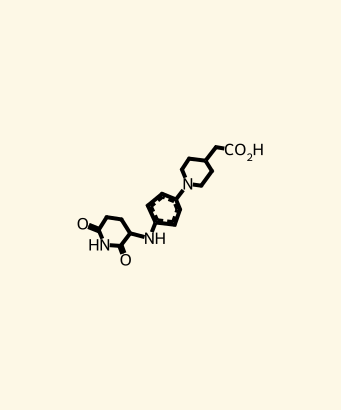 O=C(O)CC1CCN(c2ccc(NC3CCC(=O)NC3=O)cc2)CC1